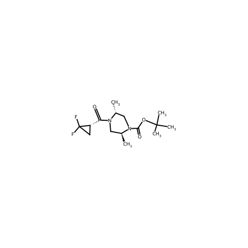 C[C@@H]1CN(C(=O)OC(C)(C)C)[C@@H](C)CN1C(=O)[C@@H]1CC1(F)F